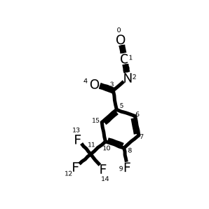 O=C=NC(=O)c1ccc(F)c(C(F)(F)F)c1